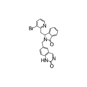 O=C1c2ccccc2C(Cc2ncccc2Br)N1Cc1ccc2[nH]c(=O)ncc2c1